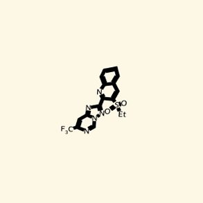 CCS(=O)(=O)c1cc2ccccc2nc1-c1nc2cc(C(F)(F)F)ncn2n1